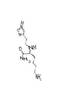 NCCCC[C@H](NCCc1c[nH]cn1)C(N)=O